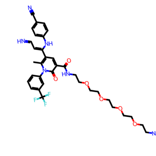 Cc1c(/C(=C/C=N)Nc2ccc(C#N)cc2)cc(C(=O)NCCOCCOCCOCCOCCN)c(=O)n1-c1cccc(C(F)(F)F)c1